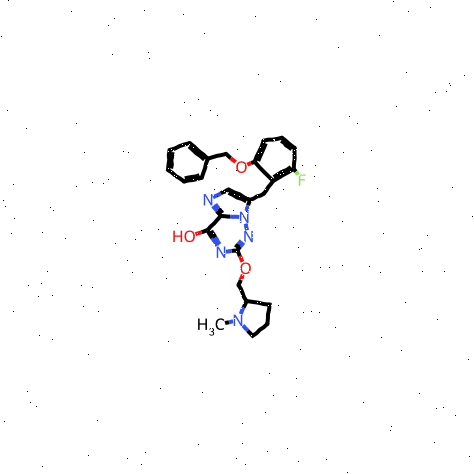 CN1CCCC1COc1nc(O)c2ncc(Cc3c(F)cccc3OCc3ccccc3)n2n1